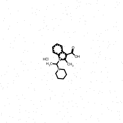 Cc1c(C(=O)O)c2ccccc2n1C(C)N1CCCCC1.Cl